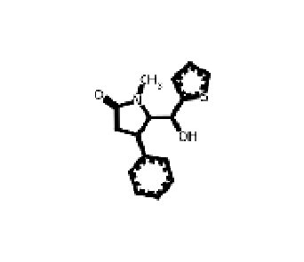 CN1C(=O)CC(c2ccccc2)C1C(O)c1cccs1